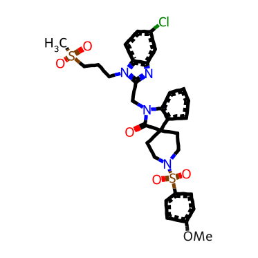 COc1ccc(S(=O)(=O)N2CCC3(CC2)C(=O)N(Cc2nc4cc(Cl)ccc4n2CCCS(C)(=O)=O)c2ccccc23)cc1